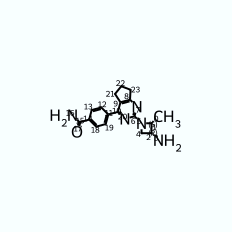 C[C@H]1[C@H](N)CN1c1nc2c(c(-c3ccc(C(N)=O)cc3)n1)CCC2